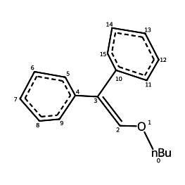 CCCCOC=C(c1ccccc1)c1ccccc1